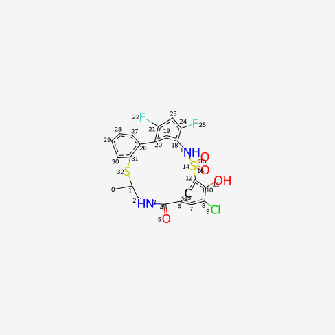 CC1CNC(=O)c2cc(Cl)c(O)c(c2)S(=O)(=O)Nc2cc(c(F)cc2F)-c2ccccc2S1